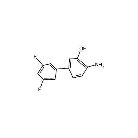 Nc1ccc(-c2cc(F)cc(F)c2)cc1O